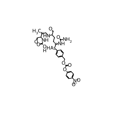 C[C@@H](CNC(C=O)CC[C@@H](NC(N)=O)[AsH]c1ccc(COC(=O)Oc2ccc([N+](=O)[O-])cc2)cc1)C(C=O)NC(=O)O